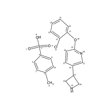 Cc1ccc(S(=O)(=O)O)cc1.Clc1ccccc1Oc1ccc(C2CNC2)cn1